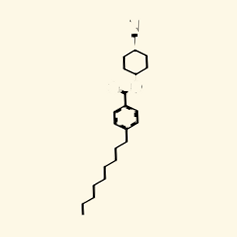 CCCCCCCCCc1ccc(C(=O)O[C@H]2CC[C@H](C#N)CC2)cc1